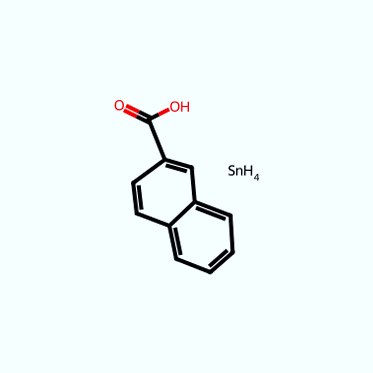 O=C(O)c1ccc2ccccc2c1.[SnH4]